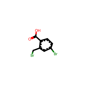 O=C(O)c1ccc(Br)cc1CBr